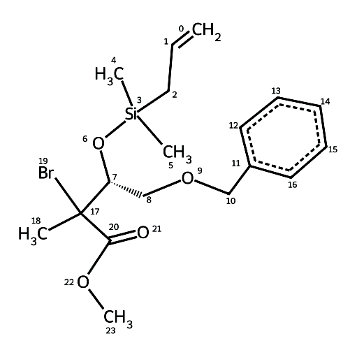 C=CC[Si](C)(C)O[C@H](COCc1ccccc1)C(C)(Br)C(=O)OC